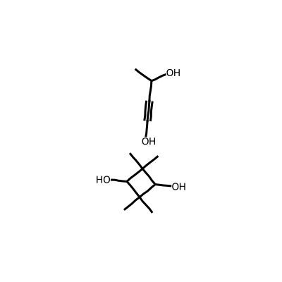 CC(O)C#CO.CC1(C)C(O)C(C)(C)C1O